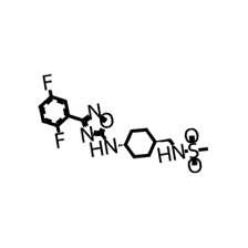 CS(=O)(=O)NC[C@H]1CC[C@H](Nc2nc(-c3cc(F)ccc3F)no2)CC1